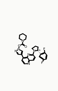 O=C(On1cc(-c2ccnc3ccc(N4CCC[C@@H]4c4cc(F)ccc4F)nc23)cn1)N1CCCCC1